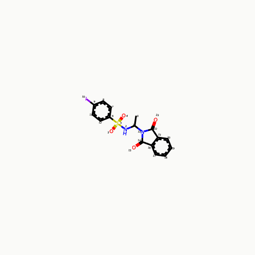 CC(NS(=O)(=O)c1ccc(I)cc1)N1C(=O)c2ccccc2C1=O